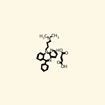 CN(C)CCCCN1c2ccccc2C(c2ccccc2)=Nc2cccnc21.O=C(O)C=CC(=O)O